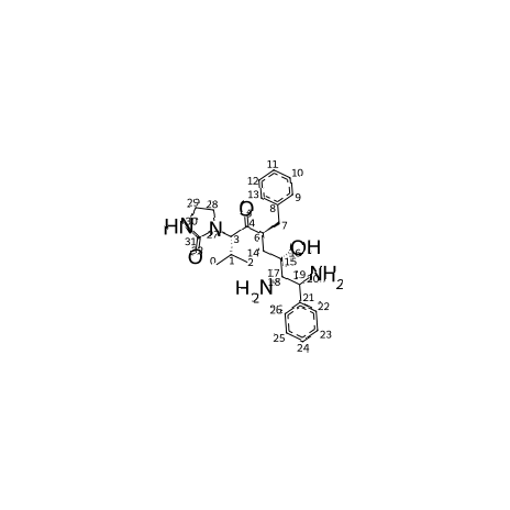 CC(C)[C@@H](C(=O)[C@@H](Cc1ccccc1)C[C@H](O)[C@@H](N)C(N)c1ccccc1)N1CCNC1=O